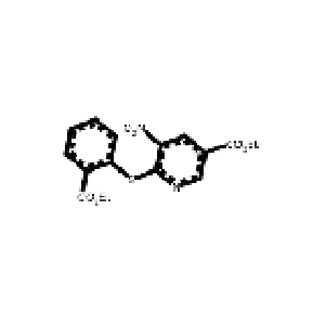 CCOC(=O)c1cnc(Sc2ccccc2C(=O)OCC)c([N+](=O)[O-])c1